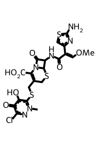 COC=C(C(=O)NC1C(=O)N2C(C(=O)O)=C(CSc3c(O)c(=O)c(Cl)nn3C)CSC12)c1csc(N)n1